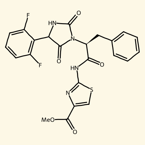 COC(=O)c1csc(NC(=O)[C@H](Cc2ccccc2)N2C(=O)NC(c3c(F)cccc3F)C2=O)n1